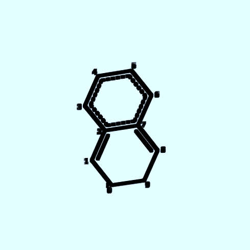 [C]1C=c2ccccc2=CC1